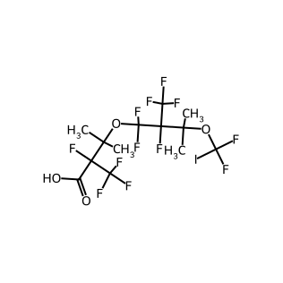 CC(C)(OC(F)(F)C(F)(C(F)(F)F)C(C)(C)OC(F)(F)I)C(F)(C(=O)O)C(F)(F)F